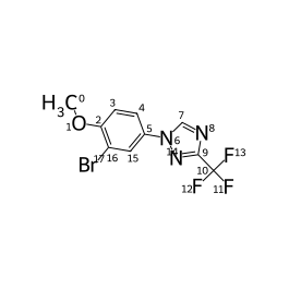 COc1ccc(-n2cnc(C(F)(F)F)n2)cc1Br